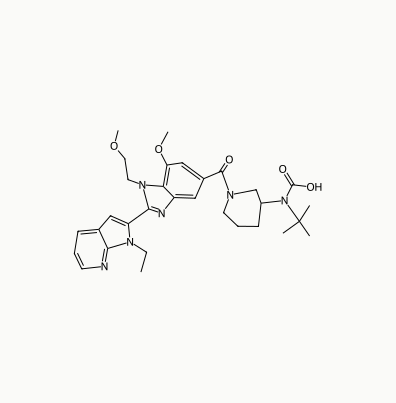 CCn1c(-c2nc3cc(C(=O)N4CCCC(N(C(=O)O)C(C)(C)C)C4)cc(OC)c3n2CCOC)cc2cccnc21